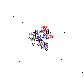 CC[C@]1(O)C[C@@H]2CN(CCc3c([nH]c4ccccc34)[C@@](C(=O)OC)(c3ccc4c(c3OC)N(C)[C@H]3[C@@](O)(C(=O)OC)[C@H](OC(C)=O)[C@]5(CC)C=CCN6CC[C@]43[C@@H]65)C2)C1.CNNCc1ccc(C(=O)NC(C)C)cc1.C[C@]12C=CC(=O)C=C1CC[C@@H]1[C@@H]2C(=O)C[C@@]2(C)[C@H]1CC[C@]2(O)C(=O)CO.O=NN(CCCl)C(=O)NC1CCCCC1